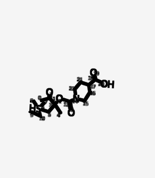 CC(=O)C(C)(C[SH]1(C)(C)CC1)OC(=O)N1CCC(C(=O)O)CC1